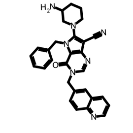 N#Cc1c(N2CCCC(N)C2)n(Cc2ccccc2)c2c(=O)n(Cc3ccc4ncccc4c3)cnc12